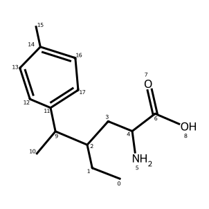 CCC(CC(N)C(=O)O)C(C)c1ccc(C)cc1